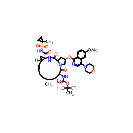 CC[C@@H]1C[C@H](C)CC/C=C\[C@@H]2C[C@@]2(C(=O)NS(=O)(=O)C2(C)CC2)NC(=O)C2C[C@@H](Oc3ncc(N4CCOCC4)c4cc(OC)ccc34)CN2C(=O)[C@H]1NC(=O)OC(C)(C)C(F)(F)F